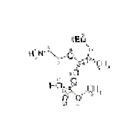 C=C(CC(C)(C)C)C(=O)OCCN.COS(=O)(=O)O